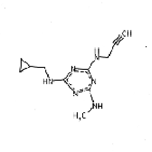 C#CCNc1nc(NC)nc(NCC2CC2)n1